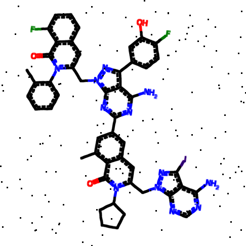 Cc1ccccc1-n1c(Cn2nc(-c3ccc(F)c(O)c3)c3c(N)nc(-c4cc(C)c5c(=O)n(C6CCCC6)c(Cn6nc(I)c7c(N)ncnc76)cc5c4)nc32)cc2cccc(F)c2c1=O